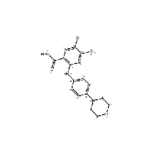 COC(=O)c1nc(Br)c(C)nc1Nc1ccc(N2CCOCC2)cc1